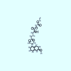 CCOC(=O)COC(=O)NCCC[C@H]1OC[C@H](c2cccc3cc(OC)ccc32)CO1